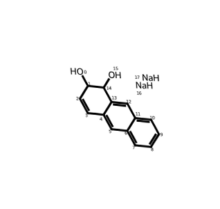 OC1C=Cc2cc3ccccc3cc2C1O.[NaH].[NaH]